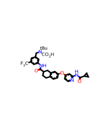 CC(C)(C)N(Cc1cc(NC(=O)C2CCc3ccc(Oc4ccnc(NC(=O)C5CC5)c4)cc3C2)cc(C(F)(F)F)c1)C(=O)O